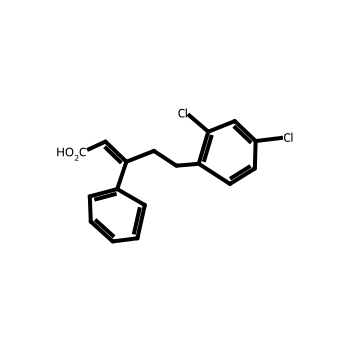 O=C(O)/C=C(/CCc1ccc(Cl)cc1Cl)c1ccccc1